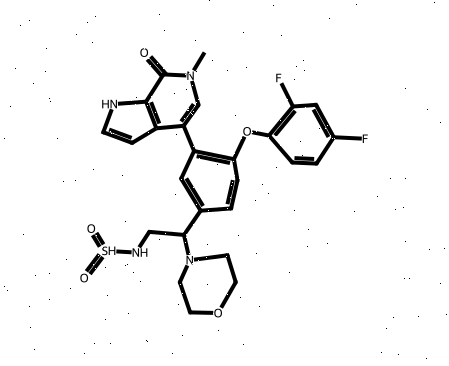 Cn1cc(-c2cc(C(CN[SH](=O)=O)N3CCOCC3)ccc2Oc2ccc(F)cc2F)c2cc[nH]c2c1=O